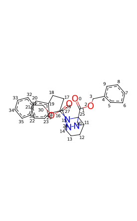 O=C(OCc1ccccc1)N1C2CCC(N(C3CCc4ccccc43)C2)N1C(=O)OCc1ccccc1